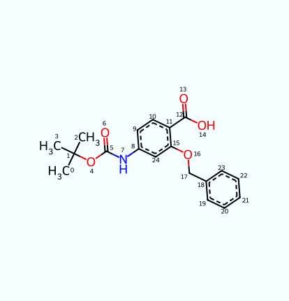 CC(C)(C)OC(=O)Nc1ccc(C(=O)O)c(OCc2ccccc2)c1